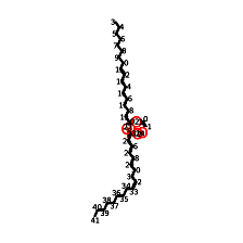 C=CO.CCCCCCCCC=CCCCCCCCC(=O)OC(=O)CCCCCCC/C=C\CCCCCCCC